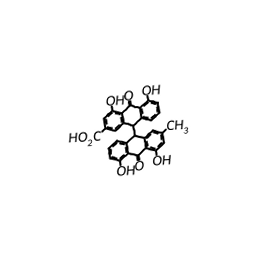 Cc1cc(O)c2c(c1)C(C1c3cccc(O)c3C(=O)c3c(O)cc(C(=O)O)cc31)c1cccc(O)c1C2=O